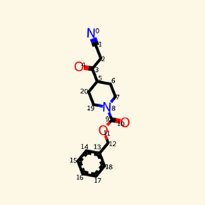 N#CCC(=O)C1CCN(C(=O)OCc2ccccc2)CC1